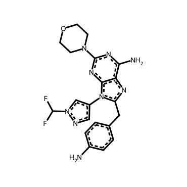 Nc1ccc(Cc2nc3c(N)nc(N4CCOCC4)nc3n2-c2cnn(C(F)F)c2)cc1